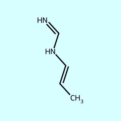 CC=CNC=N